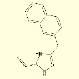 S=CC1NC=C(Cc2ccc3ccccc3c2)N1